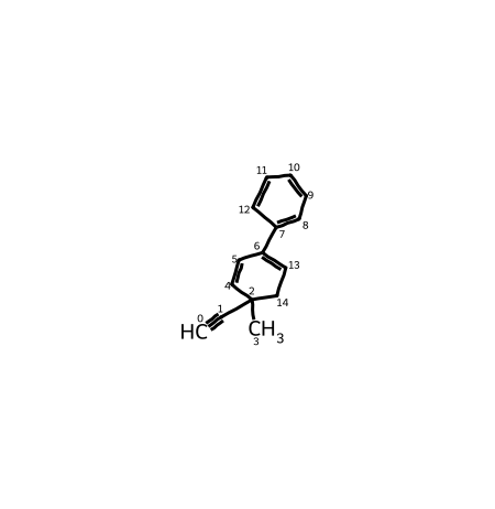 C#CC1(C)C=CC(c2ccccc2)=CC1